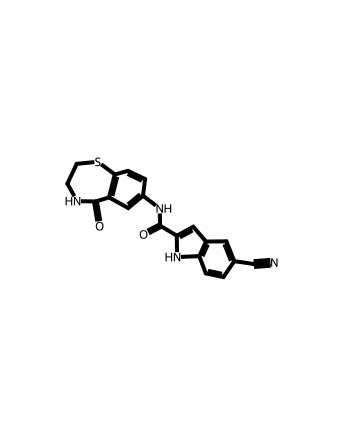 N#Cc1ccc2[nH]c(C(=O)Nc3ccc4c(c3)C(=O)NCCS4)cc2c1